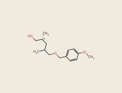 COc1ccc(COCC(C)C[C@@H](C)CO)cc1